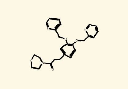 O=C(CCc1ccc(OCc2ccccn2)c(OCc2ccccn2)c1)N1CCOCC1